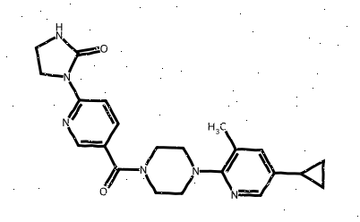 Cc1cc(C2CC2)cnc1N1CCN(C(=O)c2ccc(N3CCNC3=O)nc2)CC1